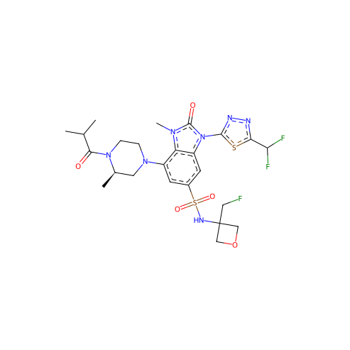 CC(C)C(=O)N1CCN(c2cc(S(=O)(=O)NC3(CF)COC3)cc3c2n(C)c(=O)n3-c2nnc(C(F)F)s2)C[C@H]1C